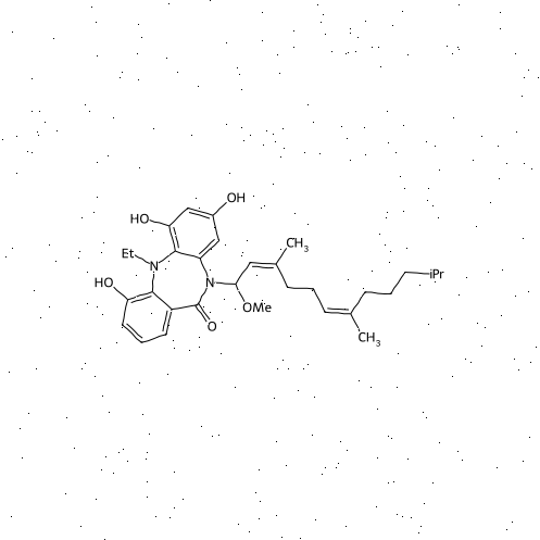 CCN1c2c(O)cccc2C(=O)N(C(C=C(C)CCC=C(C)CCCC(C)C)OC)c2cc(O)cc(O)c21